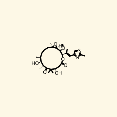 COC1[C@@H](/C(C)=C/c2csc(C)n2)OC(=O)C[C@H](O)C(C)(C)C(=O)[C@H](C)[C@@H](O)[C@@H](C)CCC[C@@]2(C)O[C@@H]12